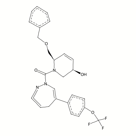 O=C(N1C=C(c2ccc(OC(F)(F)F)cc2)CC=C=N1)N1C[C@H](O)C=C[C@@H]1COCc1ccccc1